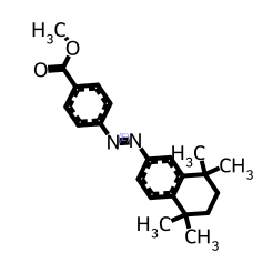 COC(=O)c1ccc(/N=N/c2ccc3c(c2)C(C)(C)CCC3(C)C)cc1